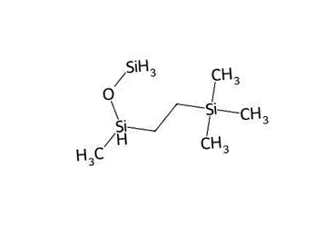 C[SiH](CC[Si](C)(C)C)O[SiH3]